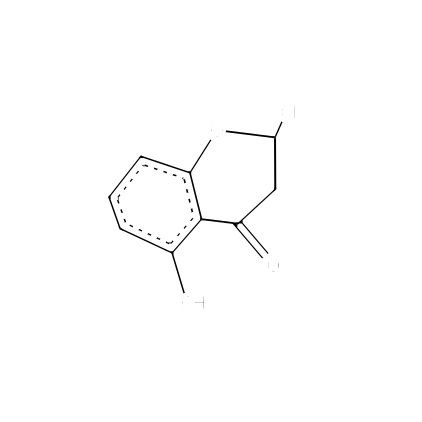 Cc1cccc2c1C(=O)CC(C)O2